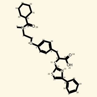 CN(CCOc1ccc(CC(Sc2nc(-c3ccccc3)cs2)C(=O)O)cc1)C(=O)C1CCCCC1